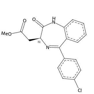 COC(=O)C[C@@H]1N=C(c2ccc(Cl)cc2)c2ccccc2NC1=O